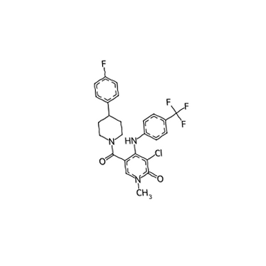 Cn1cc(C(=O)N2CCC(c3ccc(F)cc3)CC2)c(Nc2ccc(C(F)(F)F)cc2)c(Cl)c1=O